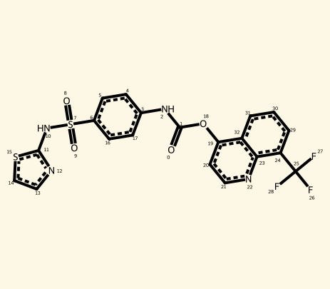 O=C(Nc1ccc(S(=O)(=O)Nc2nccs2)cc1)Oc1ccnc2c(C(F)(F)F)cccc12